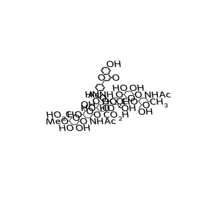 COC1C(C(=O)O)OC(OC2C(O)C(CO)OC(OC3C(C(=O)O)OC(OC4C(O)C(CO)OC(OC5C(C(=O)O)OC(OC6C(O)C(CO)OC(C)C6NC(C)=O)C(O)C5O)C4NC(C)=O)C(OC(=O)Nc4ccc(-c5cc(=O)c6cc(O)ccc6o5)cc4)C3O)C2NC(C)=O)C(O)C1O